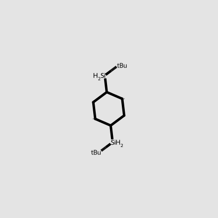 CC(C)(C)[SiH2]C1[CH]CC([SiH2]C(C)(C)C)[CH]C1